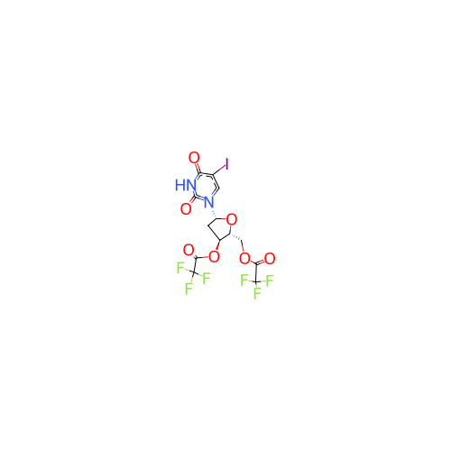 O=C(OC[C@H]1O[C@@H](n2cc(I)c(=O)[nH]c2=O)C[C@@H]1OC(=O)C(F)(F)F)C(F)(F)F